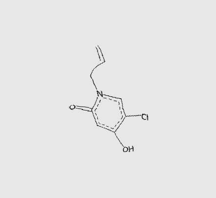 C=CCn1cc(Cl)c(O)cc1=O